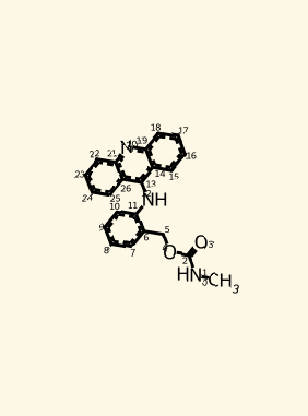 CNC(=O)OCc1ccccc1Nc1c2ccccc2nc2ccccc12